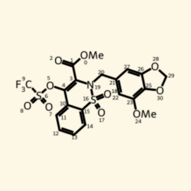 COC(=O)C1=C(OS(=O)(=O)C(F)(F)F)c2ccccc2S(=O)(=O)N1Cc1cc(OC)c2c(c1)OCO2